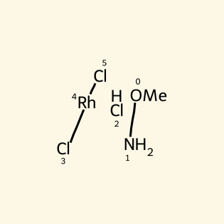 CON.Cl.[Cl][Rh][Cl]